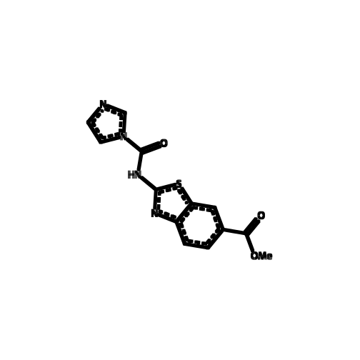 COC(=O)c1ccc2nc(NC(=O)n3ccnc3)sc2c1